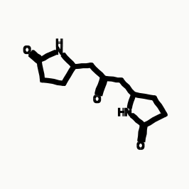 O=C(CC1CCC(=O)N1)CC1CCC(=O)N1